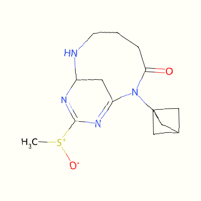 C[S+]([O-])C1=NC2CC(=N1)N(C13CC(C1)C3)C(=O)CCCN2